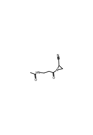 CC(=O)NCCC(=O)N1CC1C#N